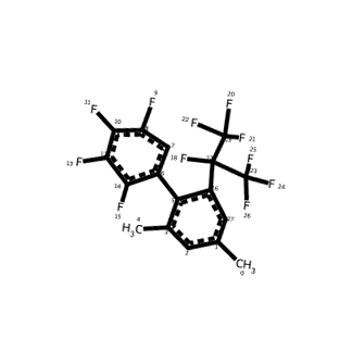 Cc1[c]c(C)c(-c2cc(F)c(F)c(F)c2F)c(C(F)(C(F)(F)F)C(F)(F)F)c1